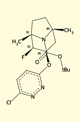 CC(C)(C)OC(=O)N1[C@]2(C)CC[C@@]1(C)[C@H](F)[C@H](Oc1ccc(Cl)nn1)C2